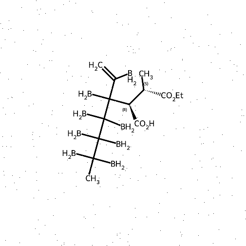 BC(=C)C(B)([C@H](C(=O)O)[C@H](C)C(=O)OCC)C(B)(B)C(B)(B)C(B)(B)C